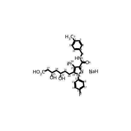 Cc1ccc(CNC(=O)c2nn(-c3ccc(F)cc3)c(CC[C@@H](O)C[C@@H](O)CC(=O)O)c2C(C)C)cc1.[NaH]